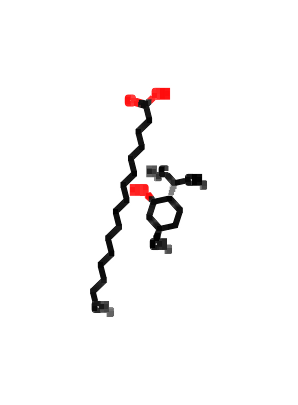 CC(C)[C@@H]1CC[C@@H](C)C[C@H]1O.CCCCCCCCCCCCCCCC(=O)O